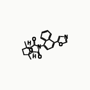 CC12CCC(C)(O1)[C@H]1C(=O)N(c3ccc(-c4cnco4)c4ccccc34)C(=O)[C@H]12